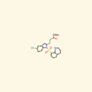 COC(=O)CCc1cc2cc(Cl)ccc2n1S(=O)(=O)c1cccc2cccnc12